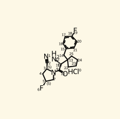 Cl.N#C[C@@H]1C[C@H](F)CN1C(=O)[C@@H](N)C1(Cc2ccc(F)cc2)CCCC1